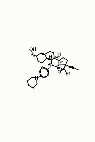 CC#C[C@]1(C(=O)CC)CC[C@H]2[C@@H]3CCC4=CC(=NO)CCC4=C3[C@@H](c3ccc(N4CCCCC4)cc3)C[C@@]21C